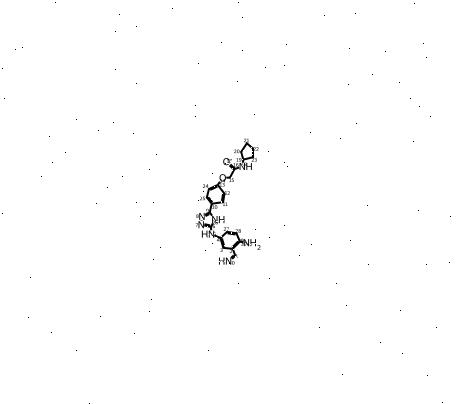 N=Cc1cc(Nc2nnc(-c3ccc(OCC(=O)NC4CCCC4)cc3)[nH]2)ccc1N